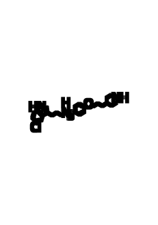 Clc1ccc2[nH]cc(CCCNSc3ccc(OCCCC4CCNCC4)cc3)c2c1